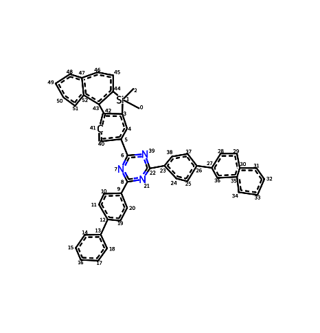 C[Si]1(C)c2cc(-c3nc(-c4ccc(-c5ccccc5)cc4)nc(-c4ccc(-c5ccc6ccccc6c5)cc4)n3)ccc2-c2c1ccc1ccccc21